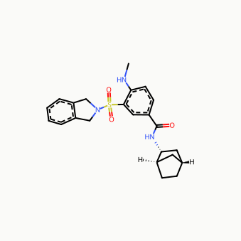 CNc1ccc(C(=O)N[C@@H]2C[C@@H]3CC[C@@H]2C3)cc1S(=O)(=O)N1Cc2ccccc2C1